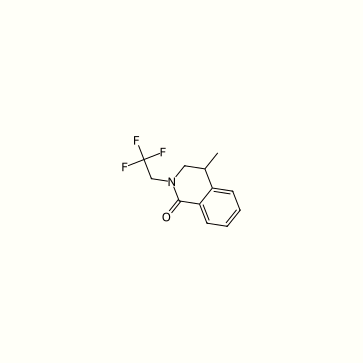 CC1CN(CC(F)(F)F)C(=O)c2ccccc21